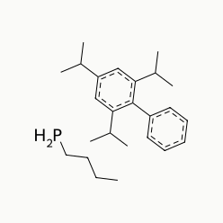 CC(C)c1cc(C(C)C)c(-c2ccccc2)c(C(C)C)c1.CCCCP